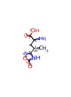 C[C@H](CC(=N)C(=O)O)c1noc(=O)[nH]1